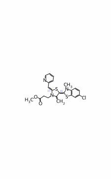 C=C1/C(=C2\Sc3cc(Cl)ccc3N2C)S/C(=C\c2ccccn2)N1CCC(=O)OC